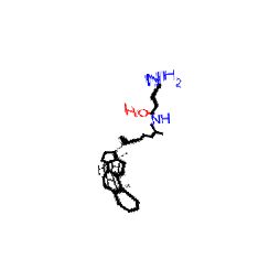 CC(CCCC(C)[C@H]1CC[C@H]2[C@@H]3CCC4CCCC[C@]4(C)[C@H]3CC[C@]12C)CNC(O)CCCN